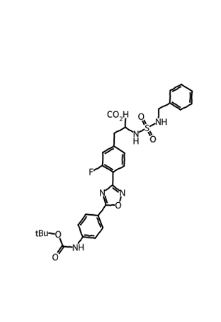 CC(C)(C)OC(=O)Nc1ccc(-c2nc(-c3ccc(CC(NS(=O)(=O)NCc4ccccc4)C(=O)O)cc3F)no2)cc1